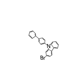 Brc1ccc2c3ccccc3n(-c3ccc(-c4ccccc4)cc3)c2c1